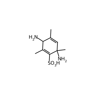 CC1=CC(C)(N)C(S(=O)(=O)O)=C(C)C1N